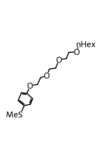 CCCCCCOCCOCCOCCOc1ccc(SC)cc1